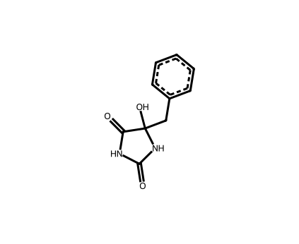 O=C1NC(=O)C(O)(Cc2ccccc2)N1